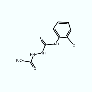 O=C(NNC(=S)Nc1ccccc1Cl)C(F)(F)F